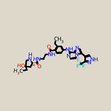 CCc1cc(Nc2nccn3c(-c4c[nH]nc4C(F)(F)F)cnc23)ccc1C(=O)NCCNC(=O)[C@@H]1C[C@@](O)(CC)CN1